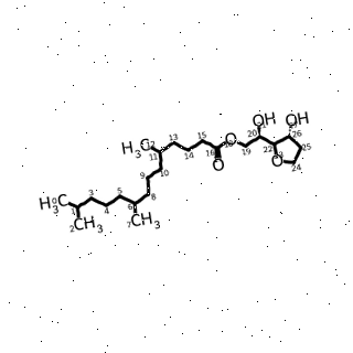 CC(C)CCCC(C)CCCC(C)CCCC(=O)OC[C@@H](O)C1OCC[C@H]1O